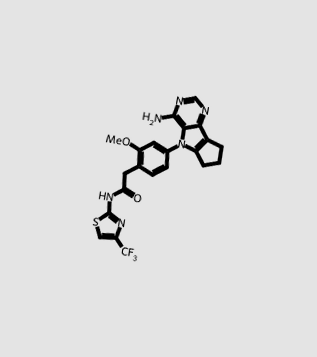 COc1cc(-n2c3c(c4ncnc(N)c42)CCC3)ccc1CC(=O)Nc1nc(C(F)(F)F)cs1